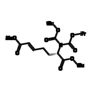 COC(=O)/C=C/CC[C@@H](C(=O)OC(C)(C)C)N(C(=O)OC(C)C)C(=O)OC(C)(C)C